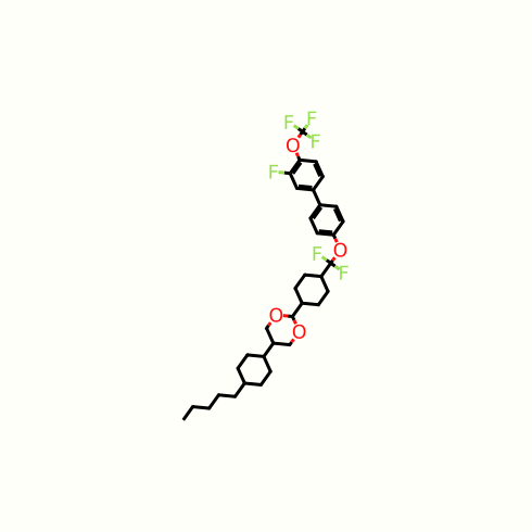 CCCCCC1CCC(C2COC(C3CCC(C(F)(F)Oc4ccc(-c5ccc(OC(F)(F)F)c(F)c5)cc4)CC3)OC2)CC1